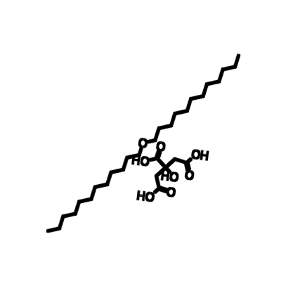 CCCCCCCCCCCCOCCCCCCCCCCCC.O=C(O)CC(O)(CC(=O)O)C(=O)O